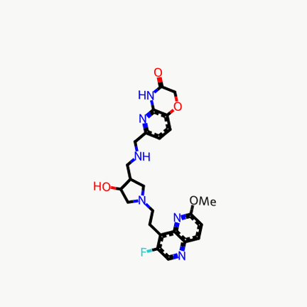 COc1ccc2ncc(F)c(CCN3CC(O)C(CNCc4ccc5c(n4)NC(=O)CO5)C3)c2n1